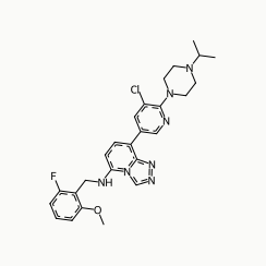 COc1cccc(F)c1CNc1ccc(-c2cnc(N3CCN(C(C)C)CC3)c(Cl)c2)c2nncn12